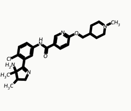 CC1CN=C(c2cc(NC(=O)c3ccc(OCC4CCN(C)CC4)nc3)ccc2Cl)C1(C)N